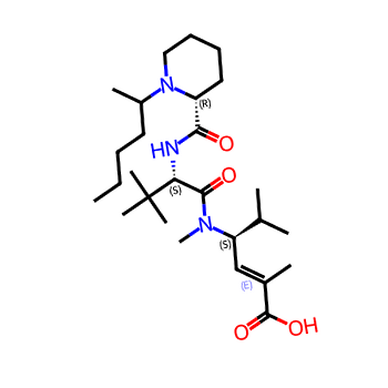 CCCCC(C)N1CCCC[C@@H]1C(=O)N[C@H](C(=O)N(C)[C@H](/C=C(\C)C(=O)O)C(C)C)C(C)(C)C